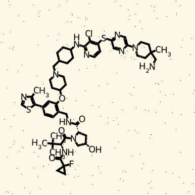 Cc1ncsc1-c1ccc(CNC(=O)[C@@H]2C[C@@H](O)CN2C(=O)[C@@H](NC(=O)C2(F)CC2)C(C)(C)C)c(OC2CCN(CC3CCC(Nc4nccc(Sc5cnc(N6CCC(C)(CN)CC6)cn5)c4Cl)CC3)CC2)c1